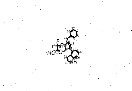 O=C(O)C(F)(F)F.c1ccc(Cn2cc(-c3ccnc4[nH]ccc34)cn2)cc1